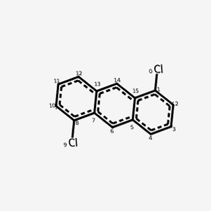 Clc1[c]ccc2cc3c(Cl)[c]ccc3cc12